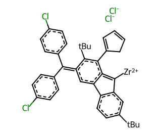 CC(C)(C)c1ccc2c(c1)[C]([Zr+2])=c1c-2cc(=C(c2ccc(Cl)cc2)c2ccc(Cl)cc2)c(C(C)(C)C)c1C1=CC=CC1.[Cl-].[Cl-]